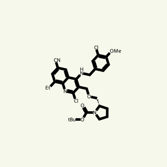 CCc1cc(C#N)cc2c(NCc3ccc(OC)c(Cl)c3)c(COC[C@@H]3CCCN3C(=O)OC(C)(C)C)c(Cl)nc12